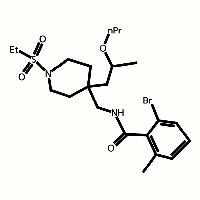 CCCOC(C)CC1(CNC(=O)c2c(C)cccc2Br)CCN(S(=O)(=O)CC)CC1